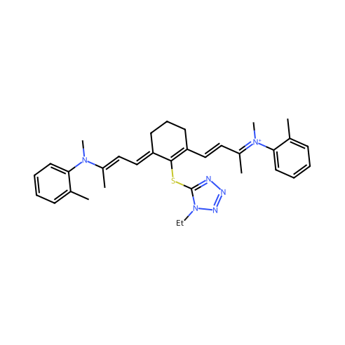 CCn1nnnc1SC1=C(/C=C/C(C)=[N+](\C)c2ccccc2C)CCC/C1=C\C=C(/C)N(C)c1ccccc1C